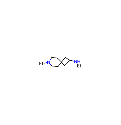 CCNC1CC2(CCN(CC)CC2)C1